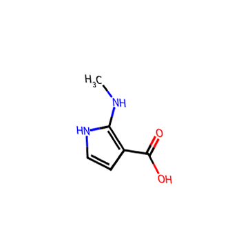 CNc1[nH]ccc1C(=O)O